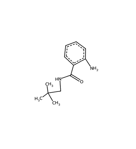 CC(C)(C)CNC(=O)c1ccccc1N